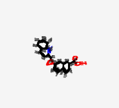 O=C(O)c1ccc2ccc(OCc3ccc4ccccc4n3)cc2c1